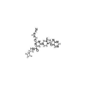 N#C[C@@H]1C[C@@H]1COc1nc(C(=O)NCCC2CCC2)cc(N2CC[C@H](COc3cncnc3N)[C@@H](F)C2)n1